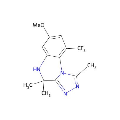 COc1cc2c(c(C(F)(F)F)c1)-n1c(C)nnc1C(C)(C)N2